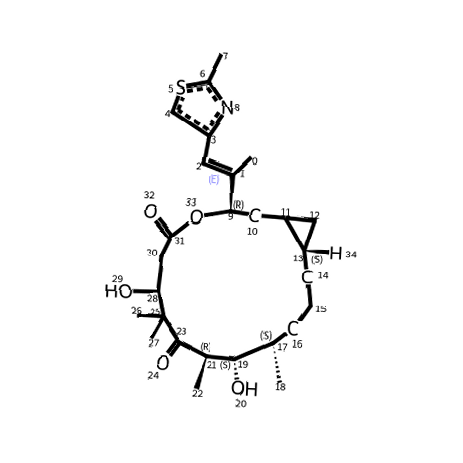 C/C(=C\c1csc(C)n1)[C@H]1CC2C[C@@H]2CCC[C@H](C)[C@H](O)[C@@H](C)C(=O)C(C)(C)C(O)CC(=O)O1